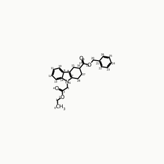 CCOC(=O)Cn1c2c(c3ccccc31)CC(C(=O)OCc1ccccc1)CC2